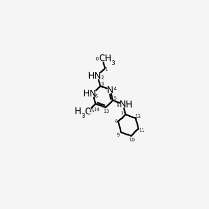 CCNC1N=C(NC2CCCCC2)C=C(C)N1